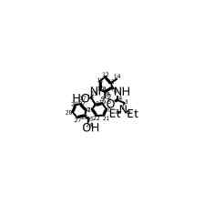 CCN(CC)CC(=O)Nc1c(C)cccc1C.NC(O)c1ccccc1.OCc1ccccc1